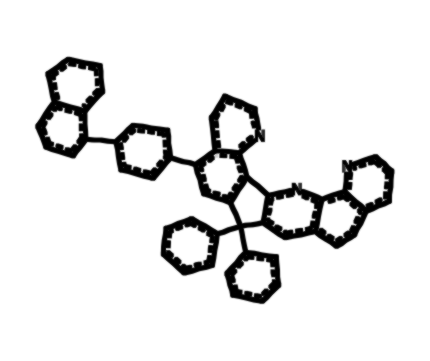 c1ccc(C2(c3ccccc3)c3cc4ccc5cccnc5c4nc3-c3c2cc(-c2ccc(-c4cccc5ccccc45)cc2)c2cccnc32)cc1